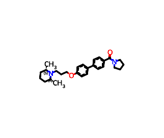 C[C@@H]1CCC[C@H](C)N1CCCOc1ccc(-c2ccc(C(=O)N3CCCC3)cc2)cc1